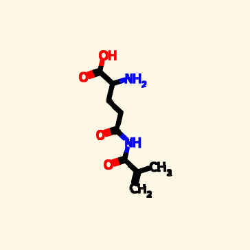 C=C(C)C(=O)NC(=O)CCC(N)C(=O)O